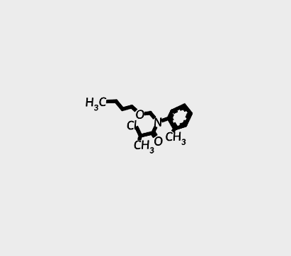 CCCCOCN(C(=O)C(C)Cl)c1ccccc1C